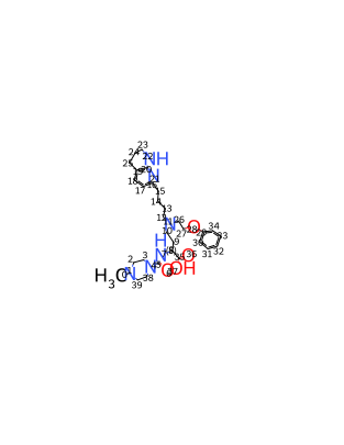 CN1CCN(C(=O)N[C@@H](CCN(CCCCc2ccc3c(n2)NCCC3)CCOc2ccccc2)C(=O)O)CC1